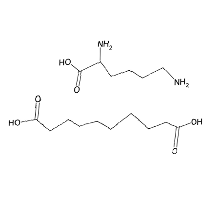 NCCCCC(N)C(=O)O.O=C(O)CCCCCCCCC(=O)O